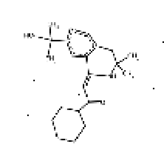 CC1(C)Cc2ccc(C(C)(C)O)cc2C(=CC(=O)C2CCCCC2)N1